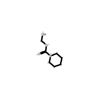 O=C(OCO)N1CCCCC1